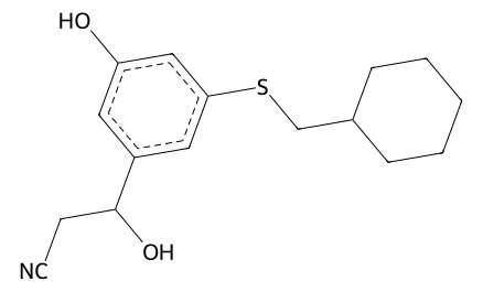 N#CCC(O)c1cc(O)cc(SCC2CCCCC2)c1